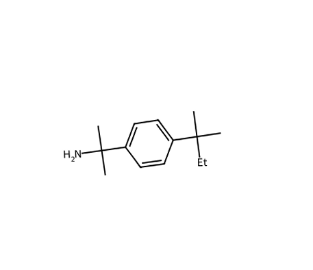 CCC(C)(C)c1ccc(C(C)(C)N)cc1